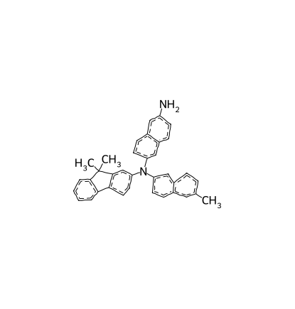 Cc1ccc2cc(N(c3ccc4c(c3)C(C)(C)c3ccccc3-4)c3ccc4cc(N)ccc4c3)ccc2c1